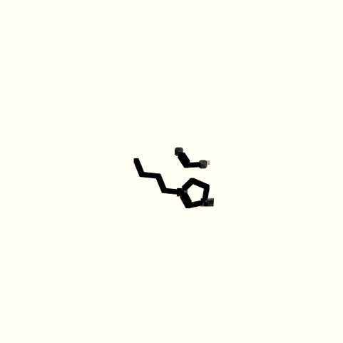 CCCC[N+]1=CNCC1.O=C[O-]